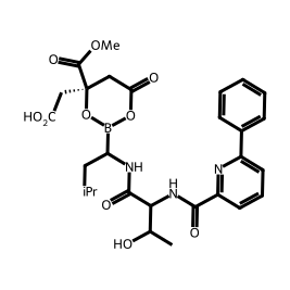 COC(=O)[C@@]1(CC(=O)O)CC(=O)OB(C(CC(C)C)NC(=O)C(NC(=O)c2cccc(-c3ccccc3)n2)C(C)O)O1